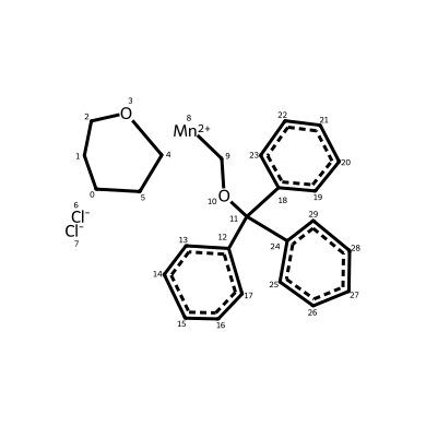 C1CCOCC1.[Cl-].[Cl-].[Mn+2][CH2]OC(c1ccccc1)(c1ccccc1)c1ccccc1